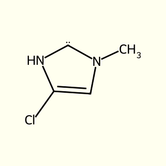 CN1[C]NC(Cl)=C1